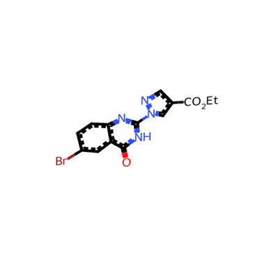 CCOC(=O)c1cnn(-c2nc3ccc(Br)cc3c(=O)[nH]2)c1